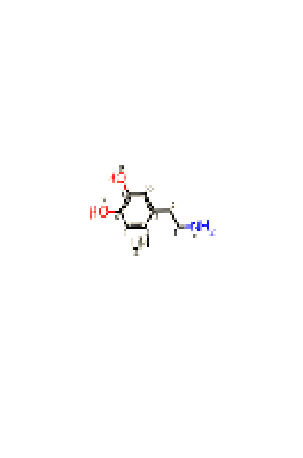 NCCc1ccc(O)c(O)c1.[LiH]